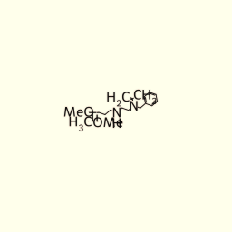 C=C(C)N(CCNCC[CH2][Ti]([CH3])([O]C)[O]C)Cc1ccccc1